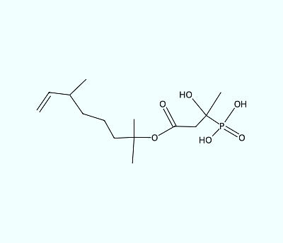 C=CC(C)CCCC(C)(C)OC(=O)CC(C)(O)P(=O)(O)O